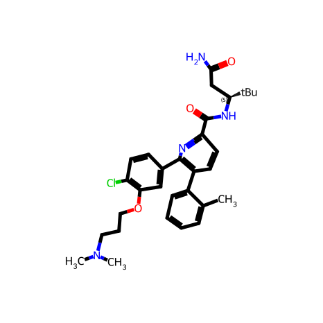 Cc1ccccc1-c1ccc(C(=O)N[C@@H](CC(N)=O)C(C)(C)C)nc1-c1ccc(Cl)c(OCCCN(C)C)c1